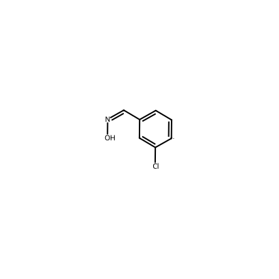 O/N=C\c1cc[c]c(Cl)c1